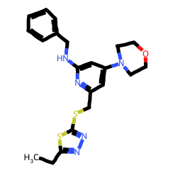 CCc1nnc(SCc2cc(N3CCOCC3)cc(NCc3ccccc3)n2)s1